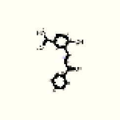 O=C(O)c1ccc(O)c(/C=C/C(=O)c2ccccc2)c1